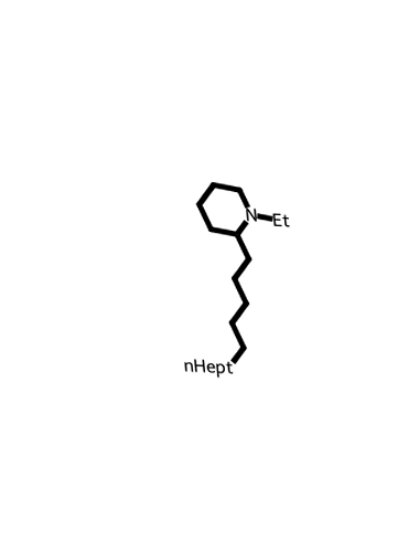 CCCCCCCCCCCCC1CCCCN1CC